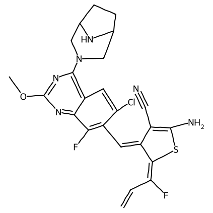 C=C/C(F)=c1/sc(N)c(C#N)/c1=C\c1c(Cl)cc2c(N3CC4CCC(C3)N4)nc(OC)nc2c1F